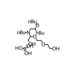 CCCCOC(CCCC)CN(CCCC)C(CO)OCCOCCO.OB(O)O